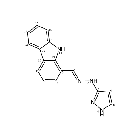 C(=NNc1cc[nH]n1)c1cccc2c1[nH]c1ccccc12